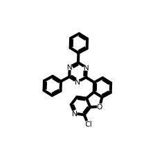 Clc1nccc2c1oc1cccc(-c3nc(-c4ccccc4)nc(-c4ccccc4)n3)c12